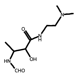 CC(NC=O)C(O)C(=O)NCCN(C)C